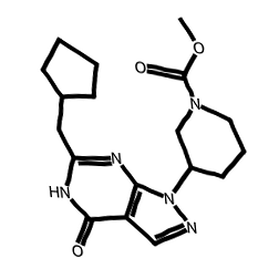 COC(=O)N1CCCC(n2ncc3c(=O)[nH]c(CC4CCCC4)nc32)C1